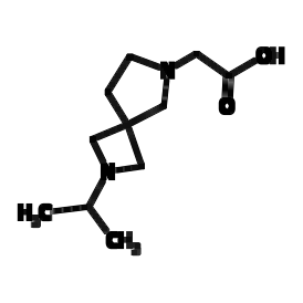 CC(C)N1CC2(CCN(CC(=O)O)C2)C1